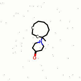 CC1(N2CCC(=O)CC2)CCCCCCCCC1